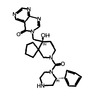 O=C(N1CC[C@@](O)(Cn2cnc3ncncc3c2=O)C2(CCCC2)C1)N1CCNC[C@H]1c1ccccc1